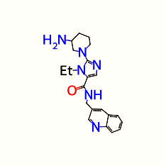 CCn1c(C(=O)NCc2cnc3ccccc3c2)cnc1N1CCCC(N)C1